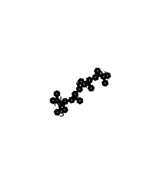 c1ccc(-c2cc(-n3c4ccccc4c4cc(-c5ccc6c7c8cccc9c8c(cc7n(-c7ccccc7)c6c5)-c5ccc(-c6ccc7c8cc(-c%10ccc%11c(c%10)c%10c%12cccc%13c%12c(cc%10n%11-c%10nc(-c%11ccccc%11)c%11ccccc%11n%10)-c%10ccccc%10S%13)ccc8n(-c8ccccc8)c7c6)cc5S9)ccc43)nc3ccccc23)cc1